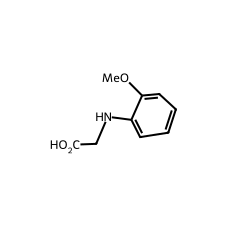 COc1ccccc1NCC(=O)O